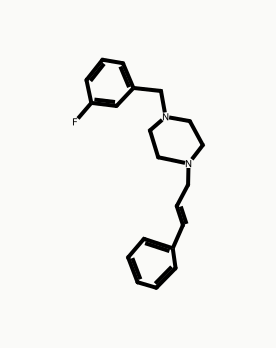 Fc1cccc(CN2CCN(CC=Cc3ccccc3)CC2)c1